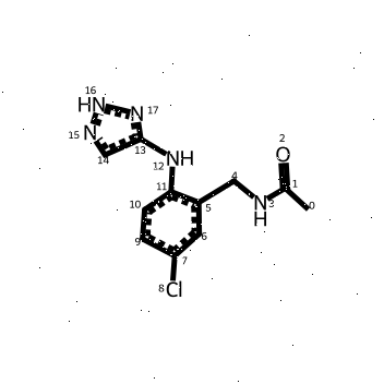 CC(=O)NCc1cc(Cl)ccc1Nc1cn[nH]n1